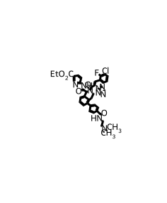 CCOC(=O)c1ccc(NC(=O)C2c3cccc(-c4ccc(C(=O)NCCN(C)C)cc4)c3CCN2C(=O)/C=C/c2c(-n3cnnn3)ccc(Cl)c2F)nc1